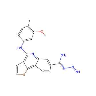 COc1cc(Nc2nc3cc(/C(N)=N/N=N)ccc3c3sccc23)ccc1C